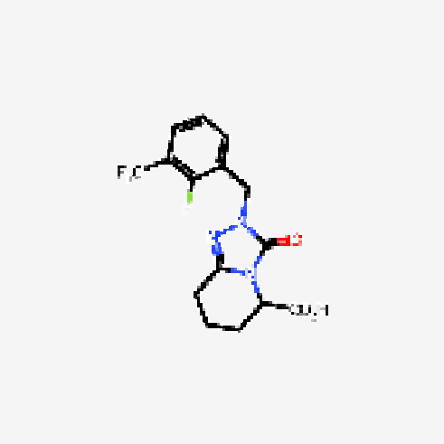 O=C(O)C1CCCc2nn(Cc3cccc(C(F)(F)F)c3F)c(=O)n21